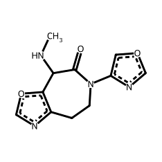 CNC1C(=O)N(c2cocn2)CCc2ncoc21